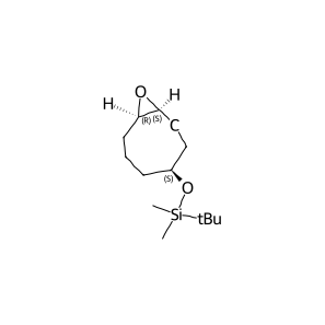 CC(C)(C)[Si](C)(C)O[C@H]1CCC[C@H]2O[C@H]2CC1